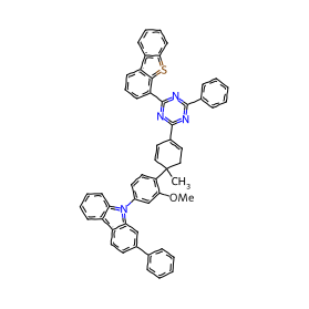 COc1cc(-n2c3ccccc3c3ccc(-c4ccccc4)cc32)ccc1C1(C)C=CC(c2nc(-c3ccccc3)nc(-c3cccc4c3sc3ccccc34)n2)=CC1